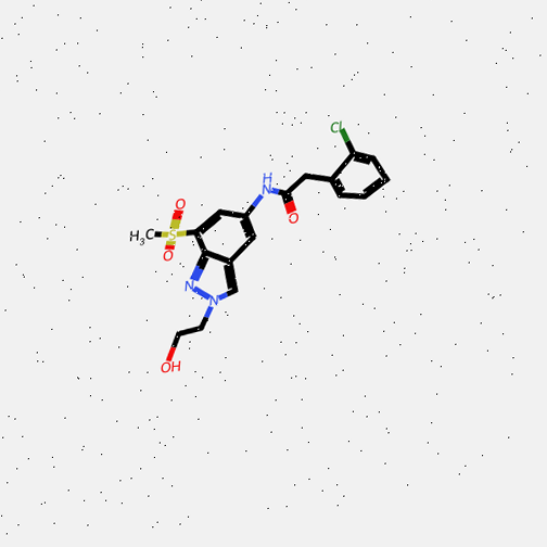 CS(=O)(=O)c1cc(NC(=O)Cc2ccccc2Cl)cc2cn(CCO)nc12